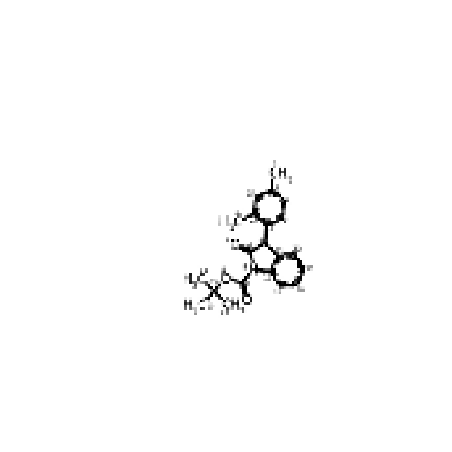 Cc1ccc(C2C(=O)N(C(=O)OC(C)(C)C)c3ccccc32)c(C)c1